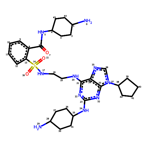 NC1CCC(NC(=O)c2ccccc2S(=O)(=O)NCCNc2nc(NC3CCC(N)CC3)nc3c2ncn3C2CCCC2)CC1